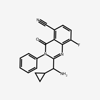 N#Cc1ccc(F)c2nc(C(N)C3CC3)n(-c3ccccc3)c(=O)c12